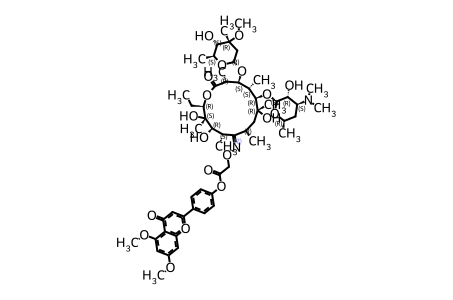 CC[C@H]1OC(=O)[C@H](C)[C@@H](O[C@H]2C[C@@](C)(OC)[C@@H](O)[C@H](C)O2)[C@H](C)[C@@H](O[C@@H]2O[C@H](C)C[C@H](N(C)C)[C@H]2O)[C@](C)(O)C[C@@H](C)/C(=N/OCC(=O)Oc2ccc(-c3cc(=O)c4c(OC)cc(OC)cc4o3)cc2)[C@H](C)[C@@H](O)[C@]1(C)O